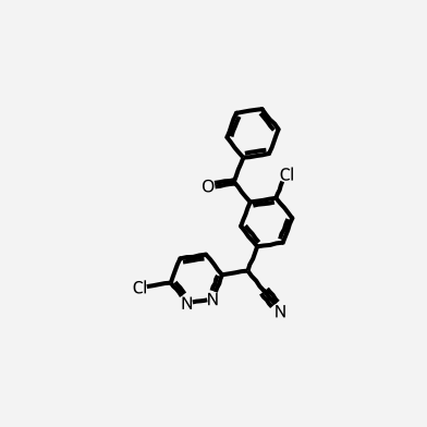 N#CC(c1ccc(Cl)c(C(=O)c2ccccc2)c1)c1ccc(Cl)nn1